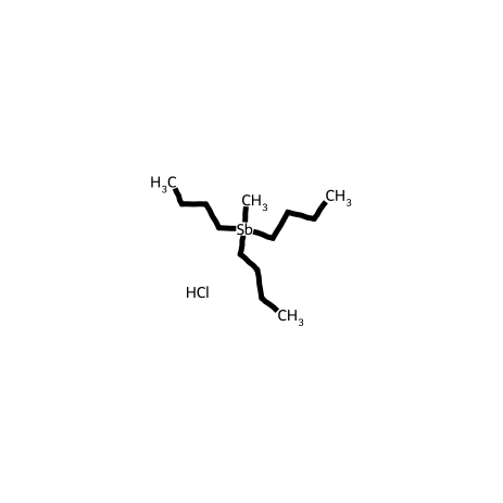 CCC[CH2][Sb]([CH3])([CH2]CCC)[CH2]CCC.Cl